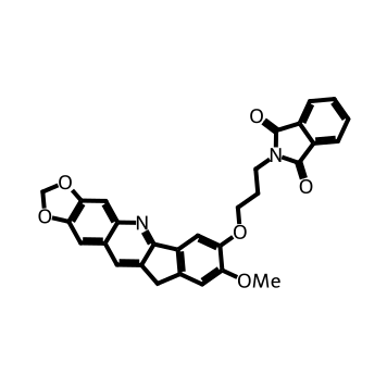 COc1cc2c(cc1OCCCN1C(=O)c3ccccc3C1=O)-c1nc3cc4c(cc3cc1C2)OCO4